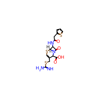 N=C(N)SCC1=CS[C@H]2C(NC(=O)Cc3cccs3)C(=O)N2C1C(=O)O